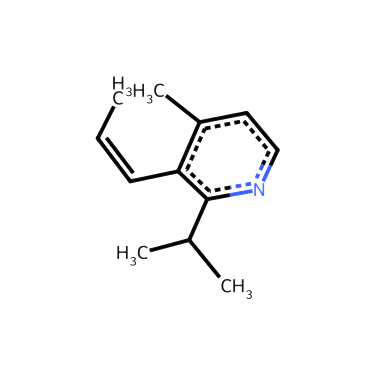 C/C=C\c1c(C)ccnc1C(C)C